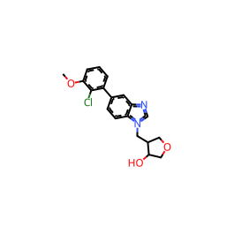 COc1cccc(-c2ccc3c(c2)ncn3CC2COCC2O)c1Cl